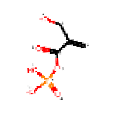 C=C(CO)C(=O)OP(=O)(O)O